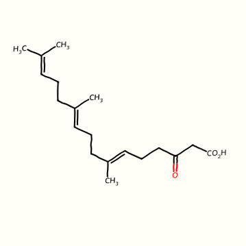 CC(C)=CCC/C(C)=C/CCC(C)=CCCC(=O)CC(=O)O